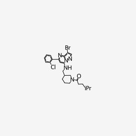 CC(C)CCC(=O)N1CCCC(CNc2cc(-c3ccccc3Cl)nc3c(Br)cnn23)C1